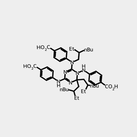 CCCCC(CC)CN(C1=NC(Nc2ccc(C(=O)O)cc2)=NC(CC(CC)CCCC)(CC(CC)CCCC)N1Nc1ccc(C(=O)O)cc1)c1ccc(C(=O)O)cc1